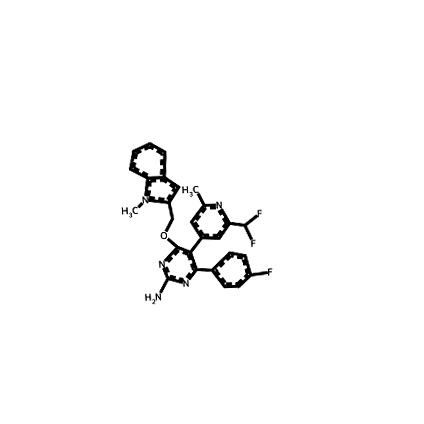 Cc1cc(-c2c(OCc3cc4ccccc4n3C)nc(N)nc2-c2ccc(F)cc2)cc(C(F)F)n1